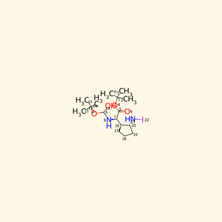 CC(C)(C)OC(=O)[C@H](NC(O)OC(C)(C)C)[C@@H]1CCC[C@H]1NI